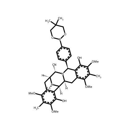 COc1c(C)c(OC)c2c(c1O)[C@H](c1ccc(B3OCC(C)(C)CO3)cc1)N1[C@@H](C#N)[C@@H]3Cc4c(OC)c(C)c(OC)c(O)c4[C@H]([C@@H]1C2)N3C